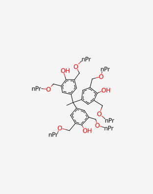 CCCOCc1cc(C(C)(c2cc(COCCC)c(O)c(COCCC)c2)c2cc(COCCC)c(O)c(COCCC)c2)cc(COCCC)c1O